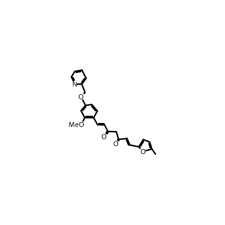 COc1cc(OCc2ccccn2)ccc1C=CC(=O)CC(=O)C=Cc1ccc(C)o1